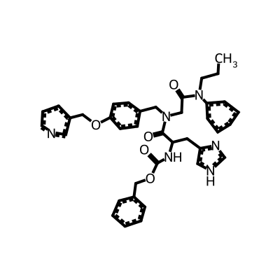 CCCN(C(=O)CN(Cc1ccc(OCc2cccnc2)cc1)C(=O)C(Cc1c[nH]cn1)NC(=O)OCc1ccccc1)c1ccccc1